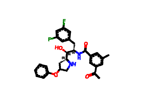 CC(=O)c1cc(C)cc(C(=O)N[C@@H](Cc2cc(F)cc(F)c2)[C@H](O)[C@H]2CC(Oc3ccccc3)CN2)c1